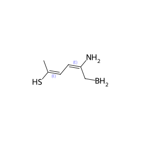 BC/C(N)=C\C=C(/C)S